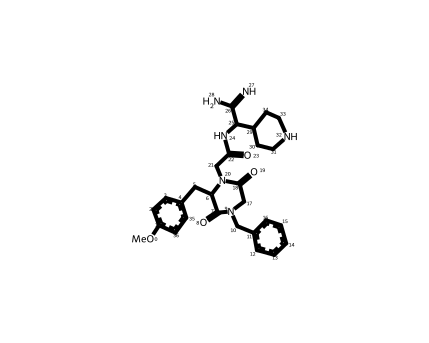 COc1ccc(CC2C(=O)N(Cc3ccccc3)CC(=O)N2CC(=O)NC(C(=N)N)C2CCNCC2)cc1